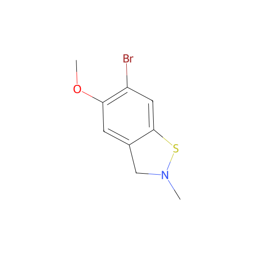 COc1cc2c(cc1Br)SN(C)C2